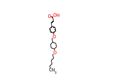 CCCCCCOC1CCC(COc2ccc(C=CC(=O)O)cc2)CC1